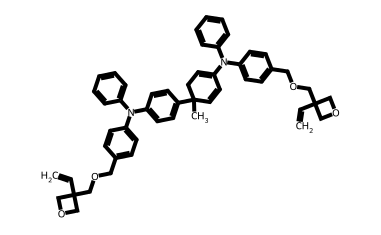 C=CC1(COCc2ccc(N(C3=CCC(C)(c4ccc(N(c5ccccc5)c5ccc(COCC6(C=C)COC6)cc5)cc4)C=C3)c3ccccc3)cc2)COC1